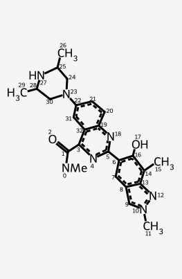 CNC(=O)c1nc(-c2cc3cn(C)nc3c(C)c2O)nc2ccc(N3CC(C)NC(C)C3)cc12